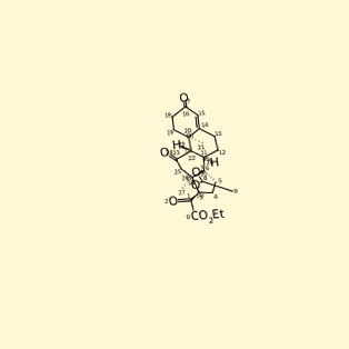 CCOC(=O)C(=O)[C@@]12CC[C@@]3(OC(C)O1)[C@@H]1CCC4=CC(=O)CC[C@]4(C)[C@H]1C(=O)C[C@]23C